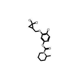 CC1CCCCN1C(=O)Oc1ccc(Cl)c(OCC2CC2(Cl)Cl)c1